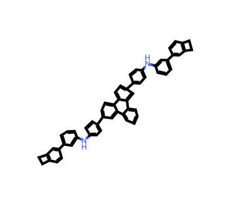 c1cc(Nc2ccc(-c3ccc4c5ccc(-c6ccc(Nc7cccc(-c8ccc9c(c8)CC9)c7)cc6)cc5c5ccccc5c4c3)cc2)cc(-c2ccc3c(c2)CC3)c1